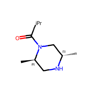 CC(C)C(=O)N1C[C@H](C)NC[C@H]1C